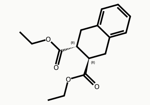 CCOC(=O)[C@@H]1Cc2ccccc2C[C@H]1C(=O)OCC